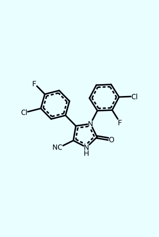 N#Cc1[nH]c(=O)n(-c2cccc(Cl)c2F)c1-c1ccc(F)c(Cl)c1